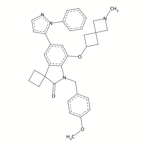 COc1ccc(CN2C(=O)C3(CCC3)c3cc(-c4ccnn4-c4ccccc4)cc(OC4CC5(C4)CN(C)C5)c32)cc1